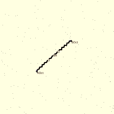 CCCCCCCC/C=C\CCCCCCCCOCCCNCCCOCCCCCCCC/C=C\CCCCCCCC